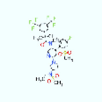 CCN(C1CCN(c2cc(-c3ccc(F)cc3S(C)(=O)=O)c(N(C)C(=O)C(C)(C)c3cc(C(F)(F)F)cc(C(F)(F)F)c3)cn2)C1)S(C)(=O)=O